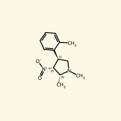 Cc1ccccc1[C@H]1CN(C)[C@H](C)[C@@H]1[N+](=O)[O-]